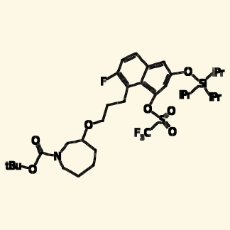 CC(C)[Si](Oc1cc(OS(=O)(=O)C(F)(F)F)c2c(CCCOC3CCCCN(C(=O)OC(C)(C)C)C3)c(F)ccc2c1)(C(C)C)C(C)C